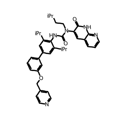 CC(C)CCN(C(=O)Nc1c(C(C)C)cc(-c2cccc(OCc3ccncc3)c2)cc1C(C)C)c1cc2cccnc2[nH]c1=O